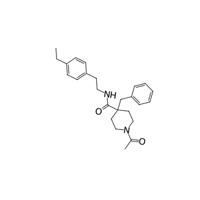 CCc1ccc(CCNC(=O)C2(Cc3ccccc3)CCN(C(C)=O)CC2)cc1